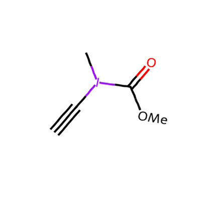 C#CI(C)C(=O)OC